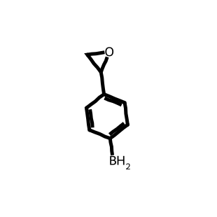 Bc1ccc(C2CO2)cc1